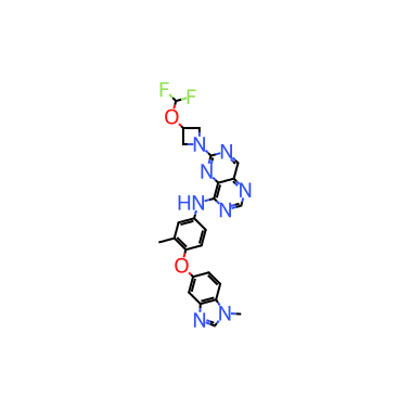 Cc1cc(Nc2ncnc3cnc(N4CC(OC(F)F)C4)nc23)ccc1Oc1ccc2c(c1)ncn2C